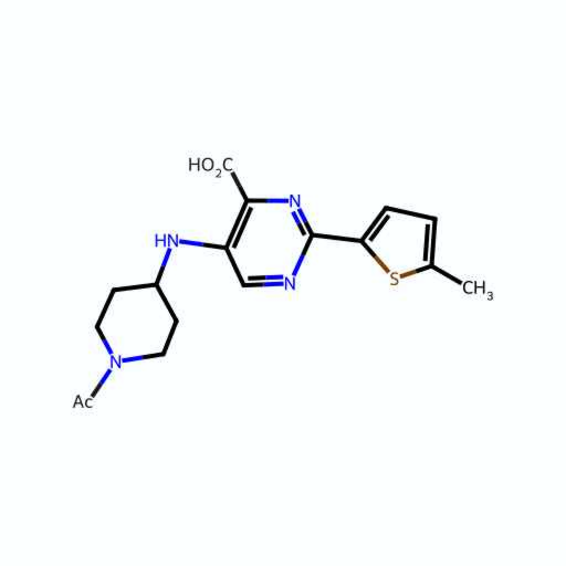 CC(=O)N1CCC(Nc2cnc(-c3ccc(C)s3)nc2C(=O)O)CC1